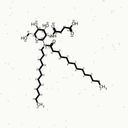 CCCCCCCCCCCCCC(=O)N(CCCCCCCCCCCC)[C@@H]1O[C@H](CO)[C@@H](O)[C@H](O)[C@@H]1NC(=O)CCC(=O)O